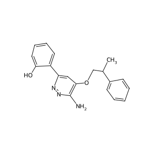 CC(COc1cc(-c2ccccc2O)nnc1N)c1ccccc1